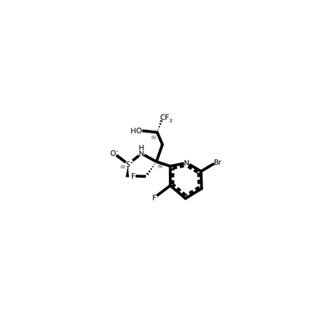 C[S@@+]([O-])N[C@@](CF)(C[C@H](O)C(F)(F)F)c1nc(Br)ccc1F